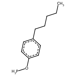 CCCCCc1ccc(OP)cc1